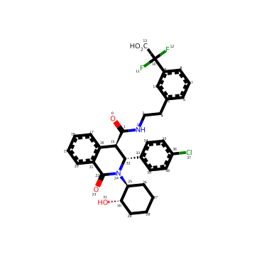 O=C(NCCc1cccc(C(F)(F)C(=O)O)c1)[C@@H]1c2ccccc2C(=O)N([C@H]2CCCC[C@@H]2O)[C@H]1c1ccc(Cl)cc1